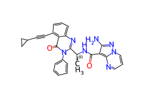 C[C@H](NC(=O)c1c(N)nn2cccnc12)c1nc2cccc(C#CC3CC3)c2c(=O)n1-c1ccccc1